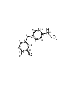 Cn1ccc(Cc2ccc(N[N+](=O)[O-])nc2)cc1=O